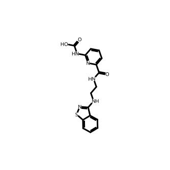 O=C(O)Nc1cccc(C(=O)NCCNc2nsc3ccccc23)n1